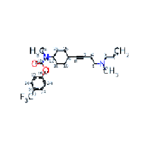 C=CCN(C)CCC#CC1CCC(N(C)C(=O)Oc2ccc(C(F)(F)F)cc2)CC1